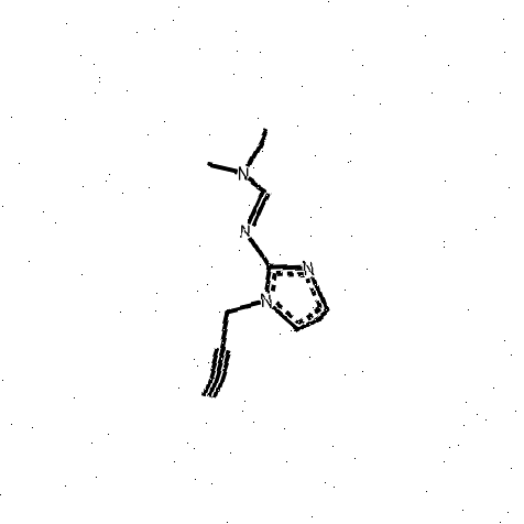 C#CCn1ccnc1N=CN(C)C